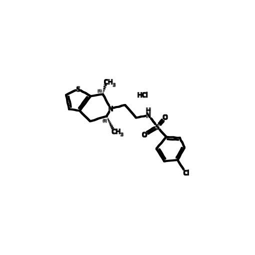 C[C@@H]1Cc2ccsc2[C@H](C)N1CCNS(=O)(=O)c1ccc(Cl)cc1.Cl